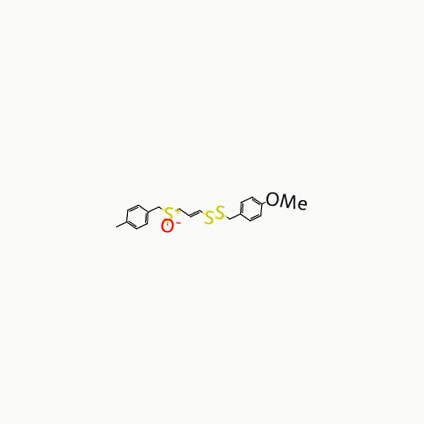 COc1ccc(CSSC=CC[S+]([O-])Cc2ccc(C)cc2)cc1